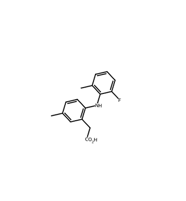 Cc1ccc(Nc2c(C)cccc2F)c(CC(=O)O)c1